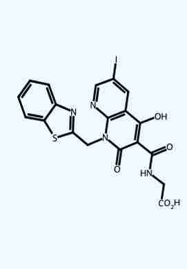 O=C(O)CNC(=O)c1c(O)c2cc(I)cnc2n(Cc2nc3ccccc3s2)c1=O